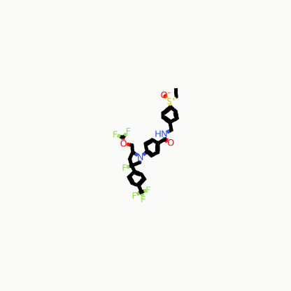 CC[S+]([O-])c1ccc(CNC(=O)c2ccc(N3CC(F)(c4ccc(C(F)(F)F)cc4)CC3COC(F)F)cc2)cc1